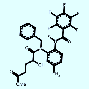 COC(=O)CCC(O)C(=O)N(Cc1ccccc1)c1cc(C)ccc1N(F)C(=O)c1c(F)c(F)c(F)c(F)c1F